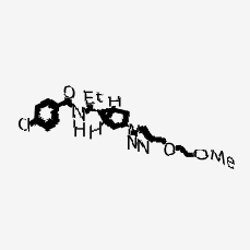 CCC(NC(=O)c1ccc(Cl)cc1)[C@H]1[C@@H]2C[C@H](n3cc(COCCOC)nn3)C[C@@H]21